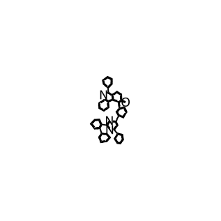 c1ccc(-c2cc(-c3ccc4oc5ccc6c(-c7ccccc7)nc7ccccc7c6c5c4c3)nc(-c3ccccc3-c3ccccc3)n2)cc1